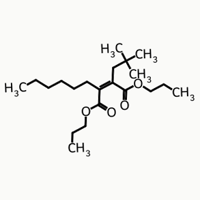 CCCCCC/C(C(=O)OCCC)=C(\CC(C)(C)C)C(=O)OCCC